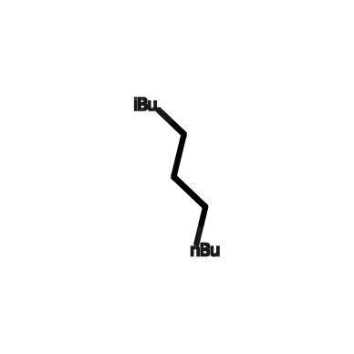 [CH2]C(CC)CCCCCCC